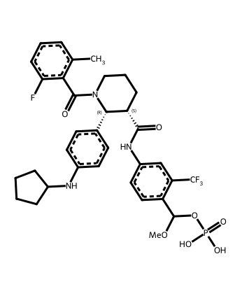 COC(OP(=O)(O)O)c1ccc(NC(=O)[C@H]2CCCN(C(=O)c3c(C)cccc3F)[C@H]2c2ccc(NC3CCCC3)cc2)cc1C(F)(F)F